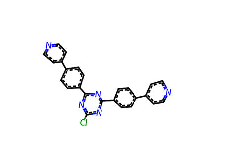 Clc1nc(-c2ccc(-c3ccncc3)cc2)nc(-c2ccc(-c3ccncc3)cc2)n1